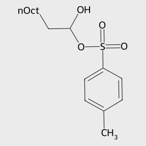 CCCCCCCCCC(O)OS(=O)(=O)c1ccc(C)cc1